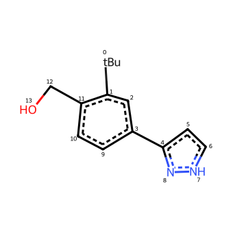 CC(C)(C)c1cc(-c2cc[nH]n2)ccc1CO